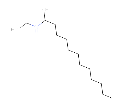 CCCCCCCCCCCC(C)NCC